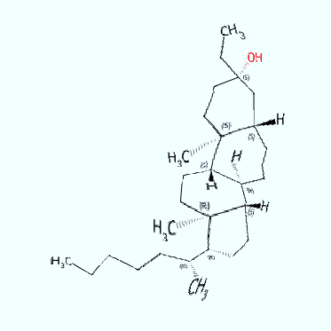 CCCCC[C@@H](C)[C@H]1CC[C@H]2[C@@H]3CC[C@H]4C[C@](O)(CC)CC[C@]4(C)[C@H]3CC[C@]12C